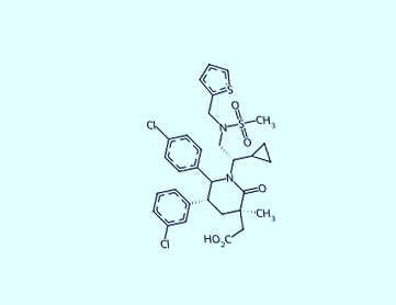 C[C@]1(CC(=O)O)C[C@H](c2cccc(Cl)c2)C(c2ccc(Cl)cc2)N([C@H](CN(Cc2cccs2)S(C)(=O)=O)C2CC2)C1=O